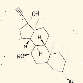 C#C[C@]1(O)CC[C@H]2[C@@H]3[C@H](O)CC4C[C@@H](O)CC[C@]4(C)[C@H]3CC[C@@]21C